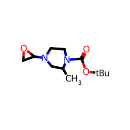 CC1CN(C2CO2)CCN1C(=O)OC(C)(C)C